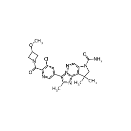 COC1CN(C(=O)c2ncc(-c3c(C)nc4c5c(cnn34)N(C(N)=O)CC5(C)C)cc2Cl)C1